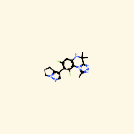 Cc1nnc2n1-c1c(cc(F)c(-c3cnn4c3CCC4)c1F)NC2(C)C